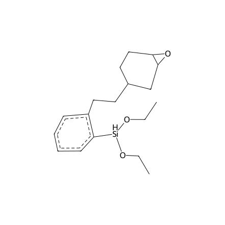 CCO[SiH](OCC)c1ccccc1CCC1CCC2OC2C1